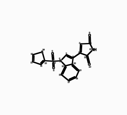 O=C1C=C(c2cn(S(=O)(=O)c3cccs3)c3ccccc23)C(=O)N1